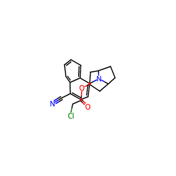 N#Cc1ccc(N2C3CCC2CC(OC(=O)CCl)C3)c2ccccc12